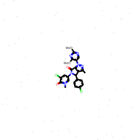 COc1ncc(-n2nc(C)c3c2C(=O)N(c2cc(Cl)c(=O)n(C)c2)C3c2ccc(Cl)cc2)c(OC)n1